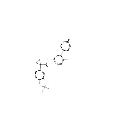 Cc1cnc(NC(=O)C2(c3ccc4c(c3)OC(F)(F)O4)CC2)nc1-c1ccc(=O)[nH]c1